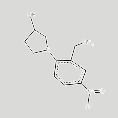 NCc1cc([N+](=O)[O-])ccc1N1CCC(O)C1